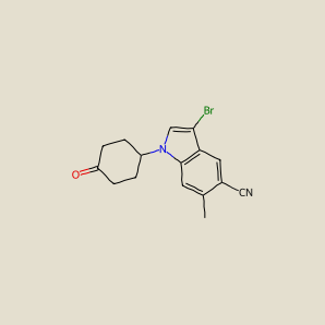 Cc1cc2c(cc1C#N)c(Br)cn2C1CCC(=O)CC1